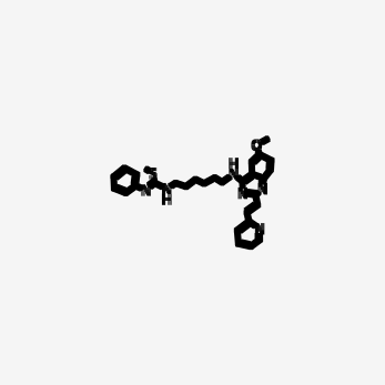 COc1ccc2nc(C=Cc3ccccn3)nc(NCCCCCCNC(=Nc3ccccc3)SC)c2c1